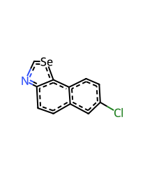 Clc1ccc2c(ccc3nc[se]c32)c1